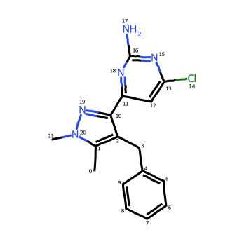 Cc1c(Cc2ccccc2)c(-c2cc(Cl)nc(N)n2)nn1C